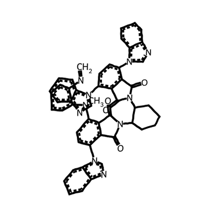 C=Nc1ccccc1N(C)c1ccc(-n2cnc3ccccc32)c2c1C(=O)N(C1CCCCC1N1C(=O)c3c(-n4cnc5ccccc54)ccc(-n4cnc5ccccc54)c3C1=O)C2=O